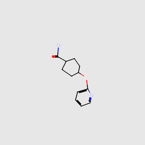 NC(=O)C1CCC(Oc2ccccn2)CC1